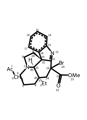 CC(C)=O.CC[C@@]12CCCN3CC[C@@]4(C(=Nc5ccccc54)C(Br)(C(=O)OC)C1)[C@H]32